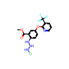 COC(=O)c1cc(Oc2ncccc2C(F)(F)F)ccc1NNNCl